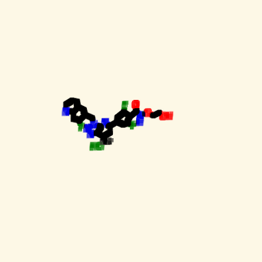 Cl.O=C(NOCCO)c1c(F)cc(-c2ccc3nnn(Cc4cc5cccnc5cc4F)c3n2)cc1F.[Na]